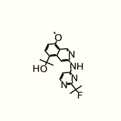 COc1ccc(C(C)(C)O)c2cc(Nc3ccnc(C(C)(C)F)n3)ncc12